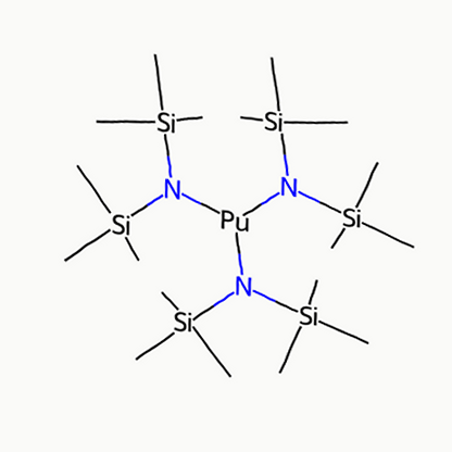 C[Si](C)(C)[N]([Pu]([N]([Si](C)(C)C)[Si](C)(C)C)[N]([Si](C)(C)C)[Si](C)(C)C)[Si](C)(C)C